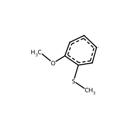 COc1cc[c]cc1SC